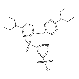 CCN(CC)c1ccc(C(c2ccc(N(CC)CC)cc2)c2ccc(S(=O)(=O)O)cc2S(=O)(=O)O)cc1